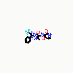 Cc1[nH]c2c(-c3ccccc3)c(C(F)(F)F)nn2c(=O)c1-c1nc2c(=O)n(C)c#cc2o1